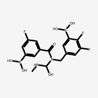 CNC(O)N(Cc1cc(F)c(F)c(B(O)O)c1)C(=O)c1cc(F)cc(B(O)O)c1